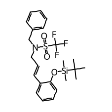 CC(C)(C)[Si](C)(C)Oc1ccccc1/C=C/CN(Cc1ccccc1)S(=O)(=O)C(F)(F)F